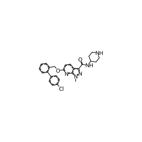 Cn1nc(C(=O)NC2CCNCC2)c2ccc(OCc3ccccc3-c3ccc(Cl)cc3)nc21